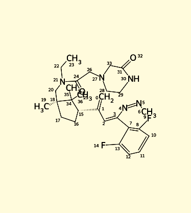 C=C(/C=C(\N=N/C)c1c(F)cccc1F)[C@@H]1CC[C@@](C)(CN(CC)C(=O)CN2CCNC(=O)C2)C1(C)C